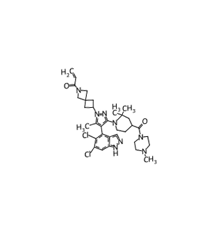 C=CC(=O)N1CC2(CC(n3nc(N4CCC(C(=O)N5CCN(C)CC5)CC4(C)C)c(-c4c(Cl)c(Cl)cc5[nH]ncc45)c3C)C2)C1